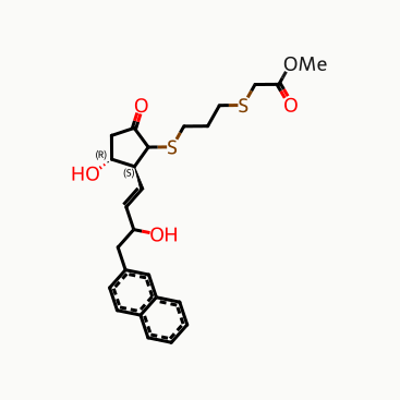 COC(=O)CSCCCSC1C(=O)C[C@@H](O)[C@@H]1C=CC(O)Cc1ccc2ccccc2c1